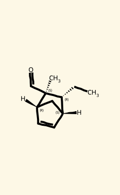 CC[C@@H]1[C@@H]2C=C[C@@H](C2)[C@@]1(C)C=O